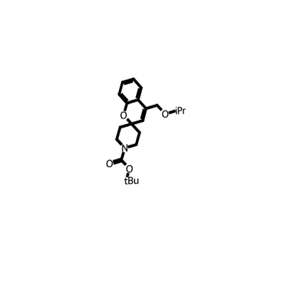 CC(C)OCC1=CC2(CCN(C(=O)OC(C)(C)C)CC2)Oc2ccccc21